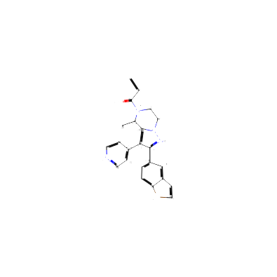 C=CC(=O)N1CCn2nc(-c3ccc4sccc4c3)c(-c3ccncc3)c2C1C